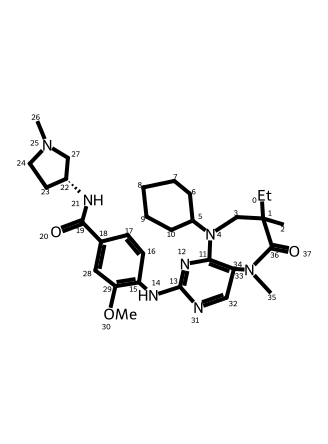 CCC1(C)CN(C2CCCCC2)c2nc(Nc3ccc(C(=O)N[C@@H]4CCN(C)C4)cc3OC)ncc2N(C)C1=O